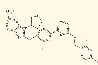 N#Cc1ccc(COc2cccc(-c3ccc(Cc4nc5ccc(C(=O)O)cc5n4C4CCOC4)c(F)c3)n2)c(F)c1